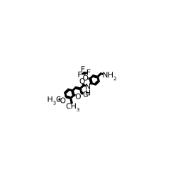 CCc1c(OC)ccc2cc(C(=O)Nc3ccc(CN)cc3OC(F)(F)F)c(=O)oc12